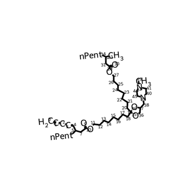 C=C=C=C=CC(CCCCC)CC(=O)OCCCCCCCCC1(CCCCCCCCOC(=O)CC(C)CCCCC)OCC(CN2CCN(C)CC2)O1